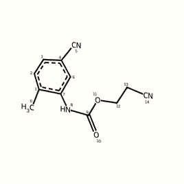 Cc1ccc(C#N)cc1NC(=O)OCCC#N